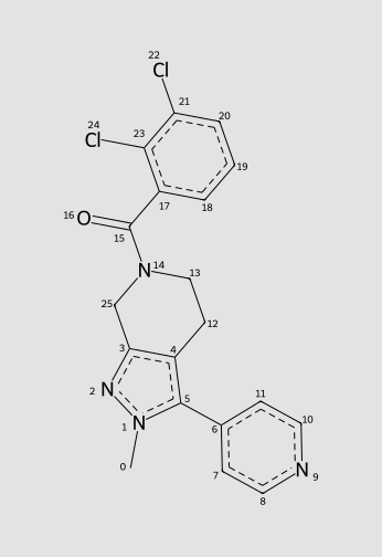 Cn1nc2c(c1-c1ccncc1)CCN(C(=O)c1cccc(Cl)c1Cl)C2